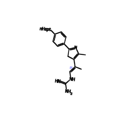 CCCCCCCc1ccc(C2=NC(C)=C(/C(C)=C/NC(=N)N)C2)cc1